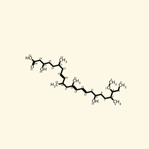 CCC(OC)C(C)CCC(O)C/C=C/C=C(\C)CC(C)/C=C/CC(C)CCC(O)CC(=O)O